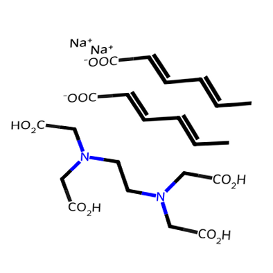 CC=CC=CC(=O)[O-].CC=CC=CC(=O)[O-].O=C(O)CN(CCN(CC(=O)O)CC(=O)O)CC(=O)O.[Na+].[Na+]